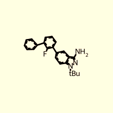 CC(C)(C)n1nc(N)c2cc(-c3cccc(-c4ccccc4)c3F)ccc21